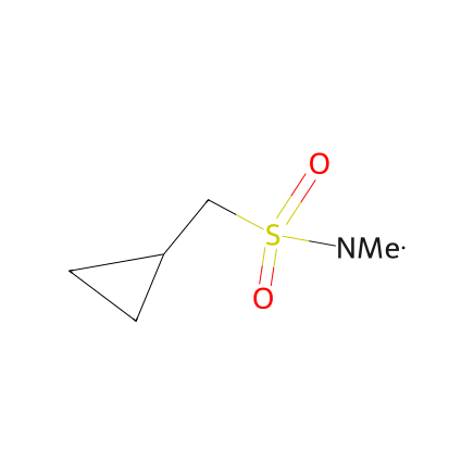 C[N]S(=O)(=O)CC1CC1